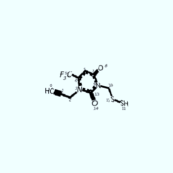 C#CCn1c(C(F)(F)F)cc(=O)n(CSS)c1=O